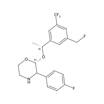 C[C@@H](O[C@H]1OCCNC1c1ccc(F)cc1)c1cc(CF)cc(C(F)(F)F)c1